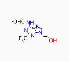 O=[C]Nc1nc(C(F)(F)F)nc2c1ncn2CCO